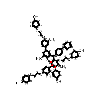 Cc1cc(-c2cc(C)c(OCCOc3ccc(O)cc3)c(C(c3ccc(-c4ccccc4)cc3)c3cc(-c4ccc(OCCOc5ccc(O)cc5)c(C)c4)cc(C)c3OCCOc3ccc(O)cc3)c2)ccc1OCCOc1ccc(O)cc1